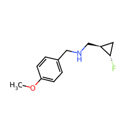 COc1ccc(CNC[C@H]2C[C@@H]2F)cc1